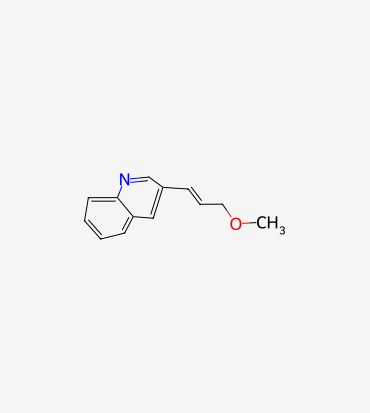 COCC=Cc1cnc2ccccc2c1